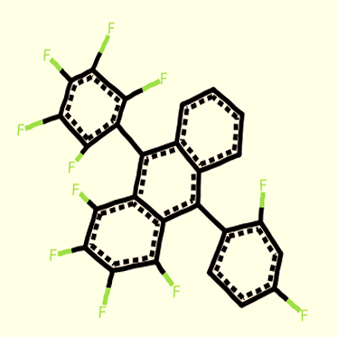 Fc1ccc(-c2c3ccccc3c(-c3c(F)c(F)c(F)c(F)c3F)c3c(F)c(F)c(F)c(F)c23)c(F)c1